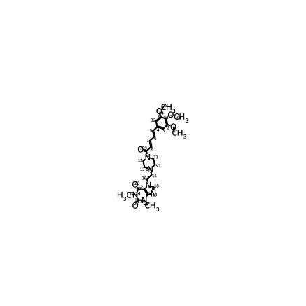 COc1cc(C=CC=CC(=O)N2CCN(CCn3cnc4c3c(=O)n(C)c(=O)n4C)CC2)cc(OC)c1OC